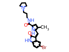 Cc1cc(C(=O)NCCCN2CCCC2)[nH]c1/C=C1\C(=O)Nc2ccc(Br)cc21